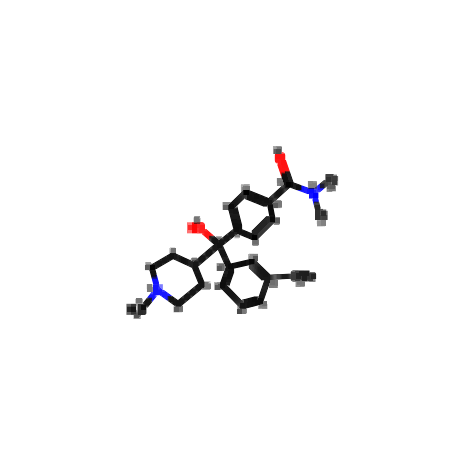 BN1CCC(C(O)(c2ccc(C(=O)N(CC)CC)cc2)c2cccc(OC)c2)CC1